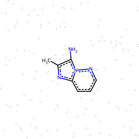 Cc1nc2cccnn2c1N